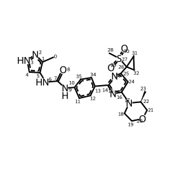 Cc1n[nH]cc1NC(=O)Nc1ccc(-c2nc(N3CCOC[C@@H]3C)cc(C3(S(C)(=O)=O)CC3)n2)cc1